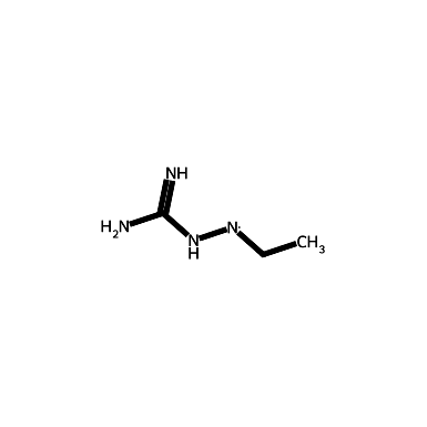 CC[N]NC(=N)N